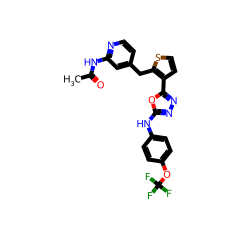 CC(=O)Nc1cc(Cc2sccc2-c2nnc(Nc3ccc(OC(F)(F)F)cc3)o2)ccn1